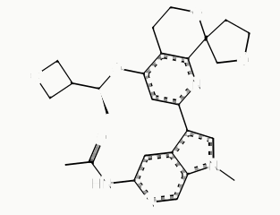 CC(=O)Nc1cc2c(-c3cc(O[C@@H](C)C4COC4)c4c(n3)C3(CCOC3)OCC4)cn(C)c2cn1